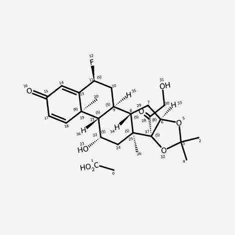 CC(=O)O.CC1(C)O[C@@H]2C[C@H]3[C@@H]4C[C@H](F)C5=CC(=O)C=C[C@]5(C)[C@H]4[C@@H](O)C[C@]3(C)[C@]2(C(=O)CO)O1